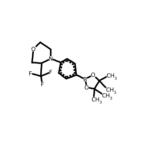 CC1(C)OB(c2ccc(N3CCOCC3C(F)(F)F)cc2)OC1(C)C